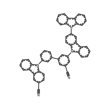 N#Cc1cc(-c2cccc(-n3c4ccccc4c4cc(C#N)ccc43)c2)cc(-n2c3ccccc3c3cc(-n4c5ccccc5c5ccccc54)ccc32)c1